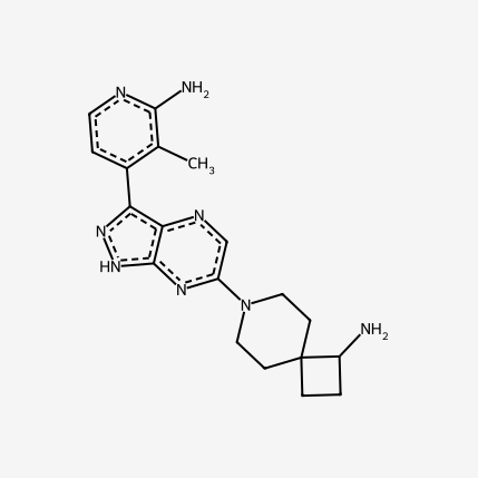 Cc1c(-c2n[nH]c3nc(N4CCC5(CCC5N)CC4)cnc23)ccnc1N